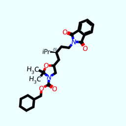 CC(C)[C@@H](CCN1C(=O)c2ccccc2C1=O)CC1CN(C(=O)OCC2CCCCC2)C(C)(C)O1